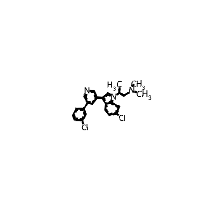 CC(CN(C)C)n1cc(-c2cncc(-c3cccc(Cl)c3)c2)c2ccc(Cl)cc21